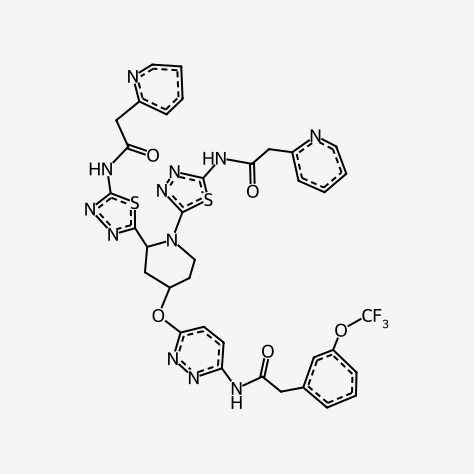 O=C(Cc1cccc(OC(F)(F)F)c1)Nc1ccc(OC2CCN(c3nnc(NC(=O)Cc4ccccn4)s3)C(c3nnc(NC(=O)Cc4ccccn4)s3)C2)nn1